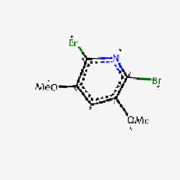 COc1cc(OC)c(Br)nc1Br